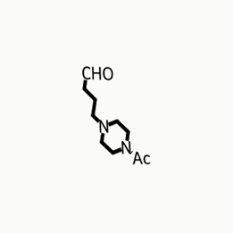 CC(=O)N1CCN(CCCC=O)CC1